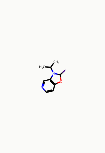 CC(C)N1c2cnccc2OC1I